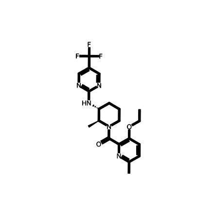 CCOc1ccc(C)nc1C(=O)N1CCC[C@@H](Nc2ncc(C(F)(F)F)cn2)[C@@H]1C